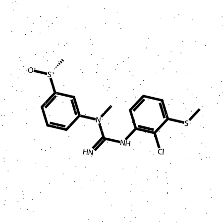 CSc1cccc(NC(=N)N(C)c2cccc([S@@+](C)[O-])c2)c1Cl